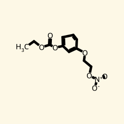 CCOC(=O)Oc1cccc(OCCO[N+](=O)[O-])c1